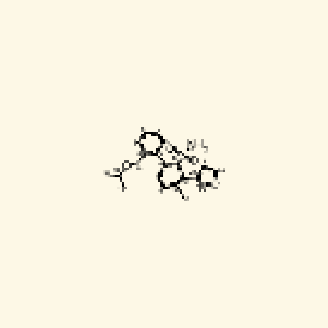 Cc1ccc(-c2ccccc2COC(C)C)c(S(N)(=O)=O)c1-c1ccon1